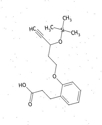 C#CC(CCOc1ccccc1CCC(=O)O)O[Si](C)(C)C